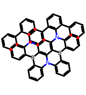 c1ccc(-c2ccccc2N2c3ccccc3B3c4ccccc4N4c5ccccc5B5c6ccccc6N(c6c(-c7ccccc7)cccc6-c6ccccc6)c6cc2c3c4c65)cc1